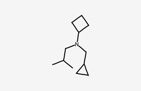 CC(C)CN(CC1CC1)C1CCC1